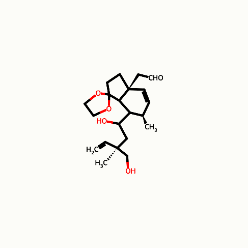 C=C[C@](C)(CO)CC(O)C1C2C3(CC[C@]2(CC=O)C=C[C@H]1C)OCCO3